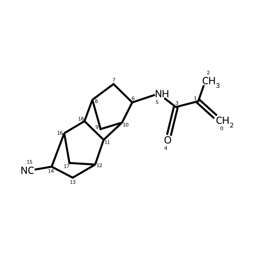 C=C(C)C(=O)NC1CC2CC1C1C3CC(C#N)C(C3)C21